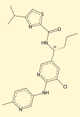 CCC[C@@H](NC(=O)c1nc(C(C)C)cs1)c1cnc(Nc2ccc(C)nc2)c(Cl)c1